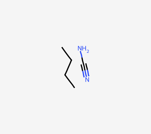 CCCC.N#CN